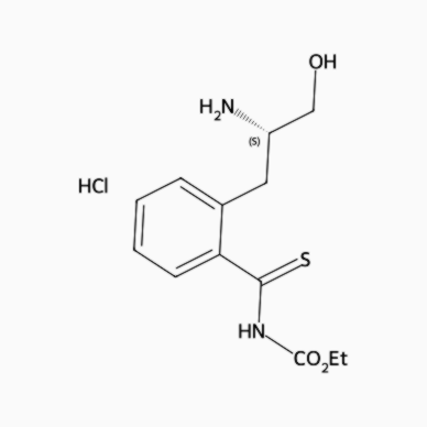 CCOC(=O)NC(=S)c1ccccc1C[C@H](N)CO.Cl